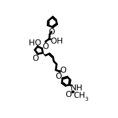 CC(=O)Nc1ccc(OC(=O)CCC/C=C\C[C@H]2C(=O)C[C@@H](O)[C@@H]2OCC(O)COc2ccccc2)cc1